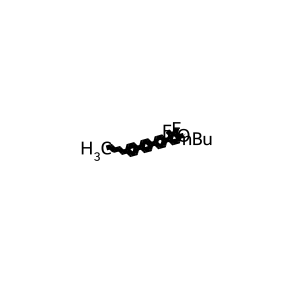 C/C=C/CCc1ccc(-c2ccc(C3CC=C(c4ccc(OCCCC)c(F)c4F)CC3)cc2)cc1